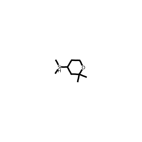 C[SiH](C)C1CCOC(C)(C)C1